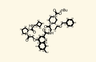 CCCCOC(=O)N1CCN(C(=O)[C@H](CCOCc2ccccc2)NC(=O)c2cc(OCC(=O)N3CCC[C@H]3C(=O)NC3CCC3)c3ccc(C)cc3n2)CC1